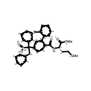 COC(=O)[C@H](CCSC)NC(=O)c1ccc(C(Cc2ccccc2)(c2ccccc2)P(=O)=O)cc1-c1ccccc1C